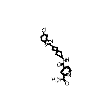 NC(=O)c1cc(C(=O)NC2CC3(C2)CC(c2nc4cc(Cl)ccc4s2)C3)ccn1